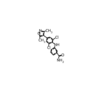 Cc1noc(C)c1-c1cc(Cl)c(Nc2cccc(C(N)=O)c2)c(Cl)c1